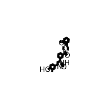 COc1ccccc1N1CCN(C(=O)c2cccc(-c3cc(-c4ccc(O)c(C)c4)nc(=O)[nH]3)c2)CC1